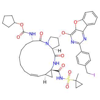 CC1(S(=O)(=O)NC(=O)[C@@]23C[C@H]2/C=C\CCCCC[C@H](NC(=O)OC2CCCC2)C(=O)N2C[C@H](Oc4nc(-c5ccc(CI)cc5)nc5c4oc4ccccc45)C[C@H]2C(=O)N3)CC1